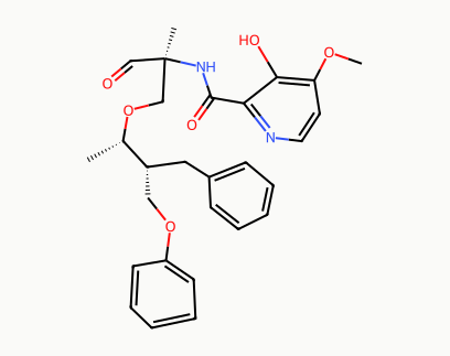 COc1ccnc(C(=O)N[C@](C)(C=O)CO[C@@H](C)[C@@H](COc2ccccc2)Cc2ccccc2)c1O